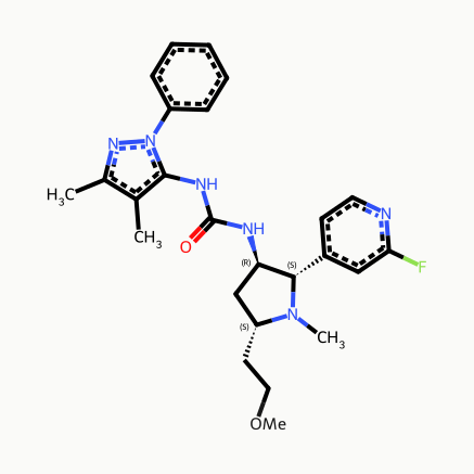 COCC[C@@H]1C[C@@H](NC(=O)Nc2c(C)c(C)nn2-c2ccccc2)[C@H](c2ccnc(F)c2)N1C